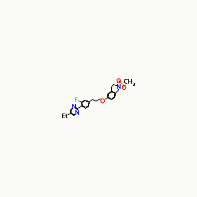 CCc1cnc(-c2ccc(CCCOc3ccc4c(c3)CCN(S(C)(=O)=O)C4)cc2F)nc1